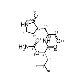 CC(C)C[C@H](OC(N)=O)C(=O)N[C@H](C=O)C[C@@H]1CCNC1=O